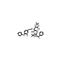 C[C@@H](NC(=O)[C@@H](NC(=O)[C@H](CCCc1ccc(Oc2ccccc2)c(F)c1)[C@@H]1OC(C)(C)OC1=O)C(C)(C)C)c1ccccc1